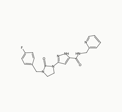 O=C(NCc1ccccn1)c1cc(N2CCN(Cc3ccc(F)cc3)C2=O)n[nH]1